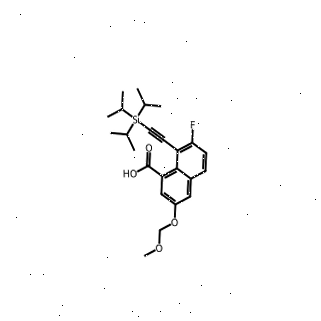 COCOc1cc(C(=O)O)c2c(C#C[Si](C(C)C)(C(C)C)C(C)C)c(F)ccc2c1